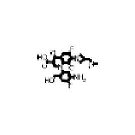 CN(C)CC1CN(c2c(F)cc3c(=O)c(C(=O)O)cn(-c4cc(N)c(F)cc4CO)c3c2Cl)C1